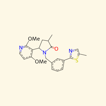 COc1ccnc(OC)c1C1CC(C)C(=O)N1Cc1cccc(-c2ncc(C)s2)c1